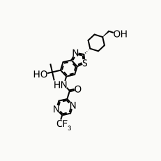 CC(C)(O)c1cc2nc([C@H]3CC[C@H](CO)CC3)sc2cc1NC(=O)c1cnc(C(F)(F)F)cn1